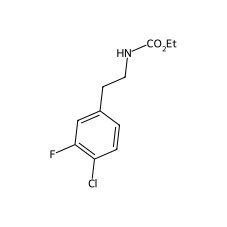 CCOC(=O)NCCc1ccc(Cl)c(F)c1